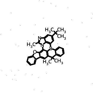 Cc1nc2cc(C(C)(C)C)cc3c2n1-c1c2c(cc4c1oc1ccccc14)C(C)(C)c1ccccc1B23